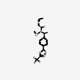 CC=C=CC(=O)N(OC)C(C)c1ccc(-c2noc(C(F)(F)F)n2)cc1